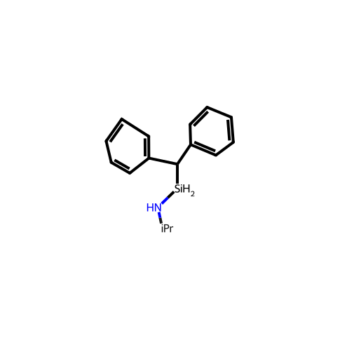 CC(C)N[SiH2]C(c1ccccc1)c1ccccc1